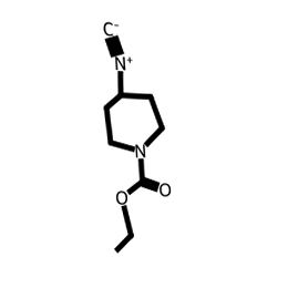 [C-]#[N+]C1CCN(C(=O)OCC)CC1